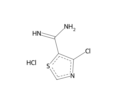 Cl.N=C(N)c1scnc1Cl